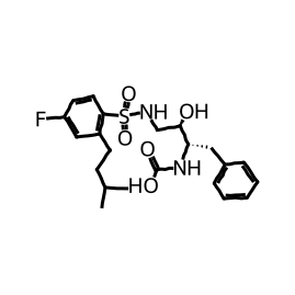 CC(C)CCc1cc(F)ccc1S(=O)(=O)NC[C@@H](O)[C@H](Cc1ccccc1)NC(=O)O